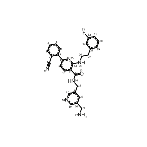 N#Cc1ccccc1-c1ccc(C(=O)NCc2cncc(CN)c2)c(NCCc2cccc(F)c2)n1